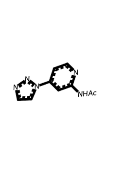 CC(=O)Nc1cc(-n2ccnn2)ccn1